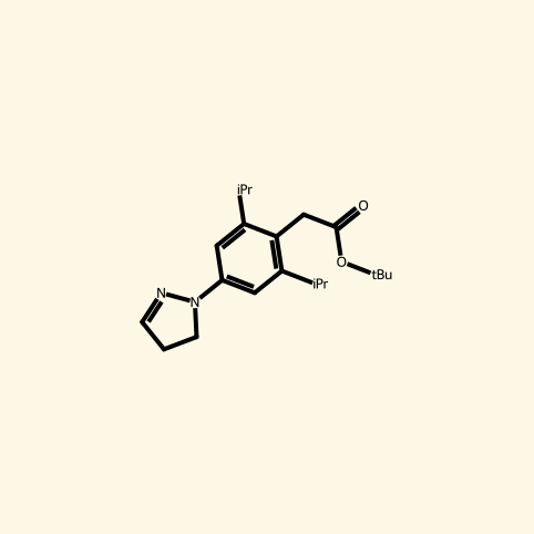 CC(C)c1cc(N2CCC=N2)cc(C(C)C)c1CC(=O)OC(C)(C)C